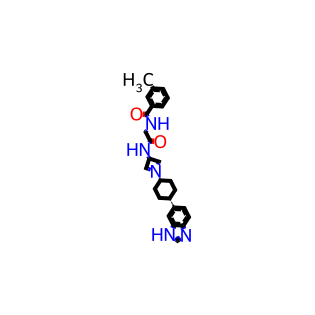 Cc1cccc(C(=O)NCC(=O)NC2CN([C@H]3CC[C@@H](c4ccc5nc[nH]c5c4)CC3)C2)c1